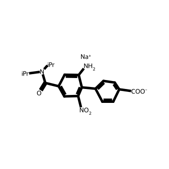 CC(C)N(C(=O)c1cc(N)c(-c2ccc(C(=O)[O-])cc2)c([N+](=O)[O-])c1)C(C)C.[Na+]